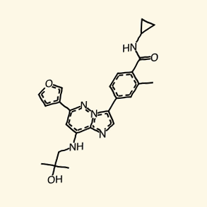 Cc1cc(-c2cnc3c(NCC(C)(C)O)cc(-c4ccoc4)nn23)ccc1C(=O)NC1CC1